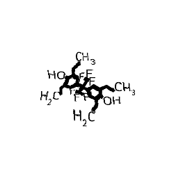 C=CCc1cc(C(c2cc(CC=C)c(O)c(CCC)c2)(C(F)(F)F)C(F)(F)F)cc(CCC)c1O